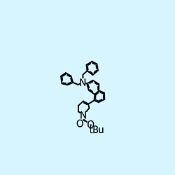 CC(C)(C)OC(=O)N1CCC=C(c2cccc3ccc(N(Cc4ccccc4)Cc4ccccc4)cc23)C1